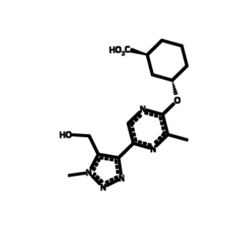 Cc1nc(-c2nnn(C)c2CO)cnc1O[C@H]1CCC[C@H](C(=O)O)C1